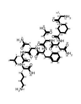 CC(C)C[C@H](NC(=O)[C@H](CC(N)=O)NC(=O)[C@H](Cc1ccccc1)NC(=O)[C@H](CC(=O)O)NC(=O)[C@H](CC(N)=O)NC(=O)[C@@H]1CCCN(C(=O)[C@H](C)N)C1)C(=O)N[C@@H](CCCCN)C(=O)O